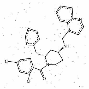 O=C(c1ccc(Cl)cc1Cl)N1CC[C@H](NCc2ccnc3ccccc23)C[C@H]1Cc1ccccc1